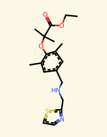 CCOC(=O)C(C)(C)Oc1c(C)cc(CNCc2nccs2)cc1C